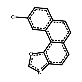 Clc1ccc2ccc3ccc4ncoc4c3c2c1